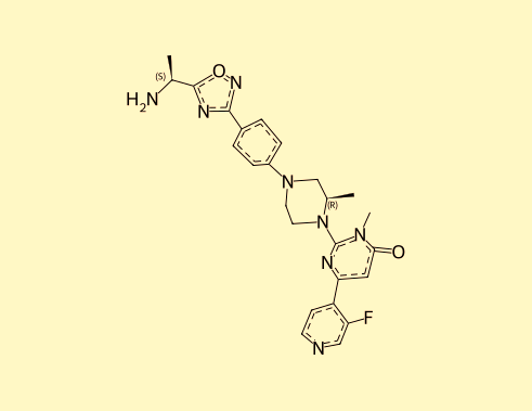 C[C@H](N)c1nc(-c2ccc(N3CCN(c4nc(-c5ccncc5F)cc(=O)n4C)[C@H](C)C3)cc2)no1